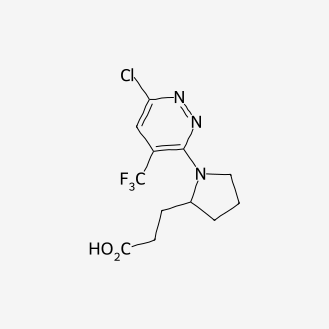 O=C(O)CCC1CCCN1c1nnc(Cl)cc1C(F)(F)F